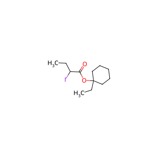 CCC(I)C(=O)OC1(CC)CCCCC1